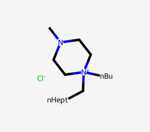 CCCCCCCC[N+]1(CCCC)CCN(C)CC1.[Cl-]